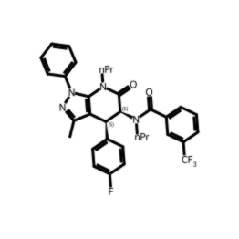 CCCN1C(=O)[C@@H](N(CCC)C(=O)c2cccc(C(F)(F)F)c2)[C@@H](c2ccc(F)cc2)c2c(C)nn(-c3ccccc3)c21